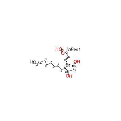 CCCCCC(C=C[C@@H]1[C@@H](CC=CCCCC(=O)O)[C@@H](O)C[C@H]1O)OO